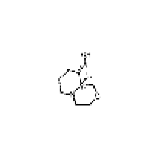 ON=C1CCCN2CCOC[C@@H]12